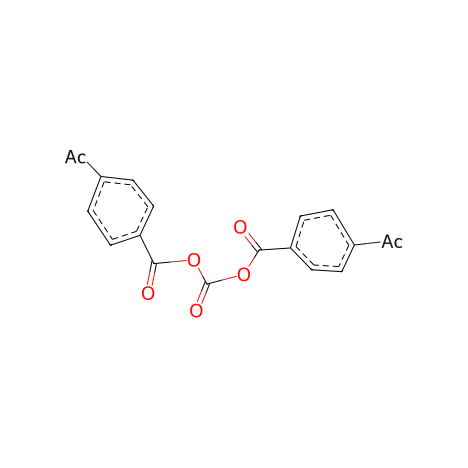 CC(=O)c1ccc(C(=O)OC(=O)OC(=O)c2ccc(C(C)=O)cc2)cc1